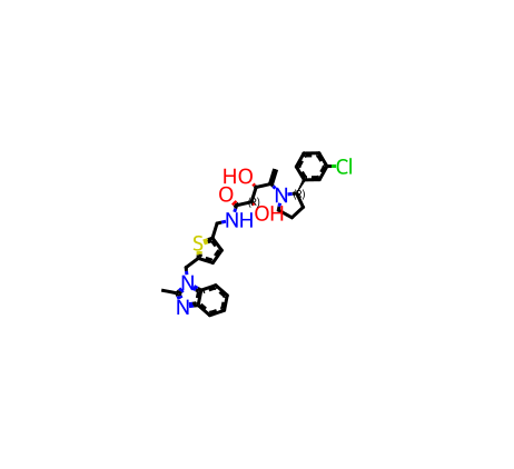 C=C(C(O)[C@@H](O)C(=O)NCc1ccc(Cn2c(C)nc3ccccc32)s1)N1CCC[C@@H]1c1cccc(Cl)c1